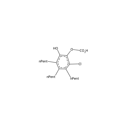 CCCCCc1c(O)c(OC(=O)O)c(Cl)c(CCCCC)c1CCCCC